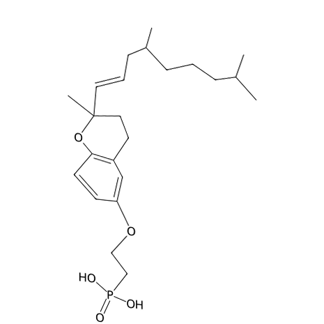 CC(C)CCCC(C)CC=CC1(C)CCc2cc(OCCP(=O)(O)O)ccc2O1